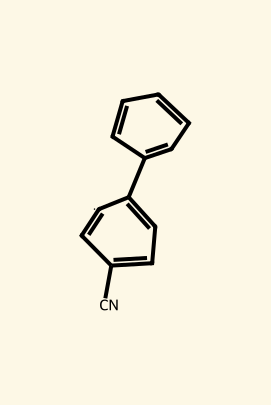 N#Cc1c[c]c(-c2ccccc2)cc1